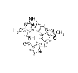 Cc1cnc2c(S(C)(=O)=O)cc(Cc3cc(C(=O)NCc4ccc(N)nc4C)ccn3)cc2c1